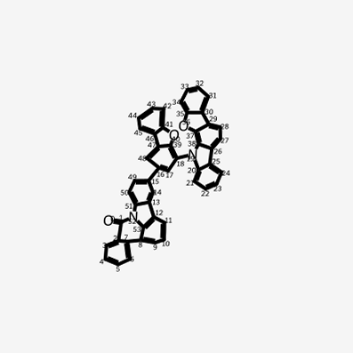 O=c1c2ccccc2c2cccc3c4cc(-c5cc(-n6c7ccccc7c7ccc8c9ccccc9oc8c76)c6oc7ccccc7c6c5)ccc4n1c23